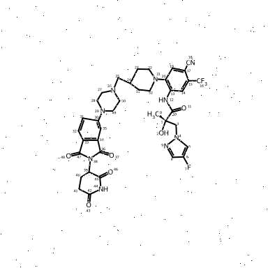 C[C@](O)(Cn1cc(F)cn1)C(=O)Nc1cc(C(F)(F)F)c(C#N)cc1N1CCC(CN2CCN(c3ccc4c(c3)C(=O)N(C3CCC(=O)NC3=O)C4=O)CC2)CC1